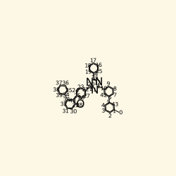 Cc1cccc(-c2cccc(-c3nc(-c4ccccc4)nc(-c4ccc5c(c4)oc4cccc(-c6ccccc6)c45)n3)c2)c1